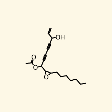 C=CC(O)C#CC#CC(OC(C)=O)C1OC1CCCCCCC